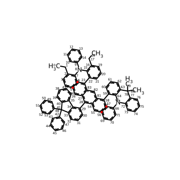 CCc1ccccc1N(c1ccccc1)c1c(CC)cccc1-c1cccc2c(-c3cccc4c3-c3ccccc3C4(c3ccccc3)c3ccccc3)c3cccc(-c4cccc5c4N(c4ccccc4)c4ccccc4C5(C)C)c3cc12